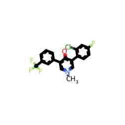 Cn1cc(-c2cccc(C(F)(F)F)c2)c(=O)c(-c2ccc(F)cc2Cl)c1